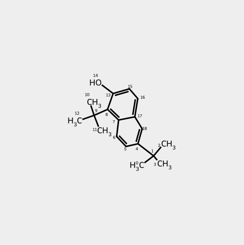 CC(C)(C)c1ccc2c(C(C)(C)C)c(O)ccc2c1